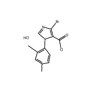 Cc1ccc(-n2cnc(Br)c2C(=O)Cl)c(C)c1.Cl